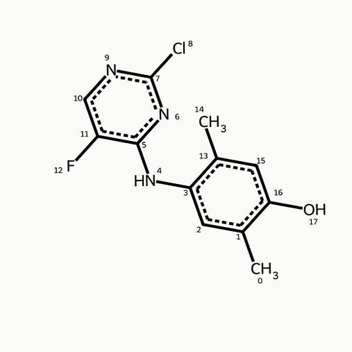 Cc1cc(Nc2nc(Cl)ncc2F)c(C)cc1O